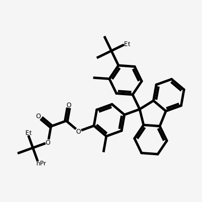 CCCC(C)(CC)OC(=O)C(=O)Oc1ccc(C2(c3ccc(C(C)(C)CC)c(C)c3)C3=CCCC=C3c3ccccc32)cc1C